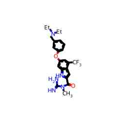 CCN(CC)Cc1cccc(Oc2cc(C(F)(F)F)c3cc(C(=O)N(C)C(=N)N)[nH]c3c2)c1